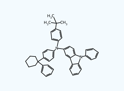 CC(C)(C)c1ccc(N(c2ccc(C3(c4ccccc4)CCCCC3)cc2)c2ccc3c(c2)c2ccccc2n3-c2ccccc2)cc1